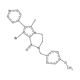 COc1ccc(CN2CCn3c(I)c(-c4ccncc4)c(Br)c3C2=O)cc1